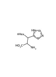 CCCCCCC(c1cnc[nH]1)C(N)C(=O)O